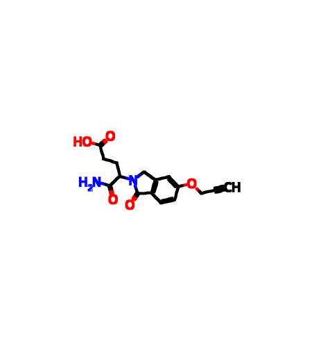 C#CCOc1ccc2c(c1)CN(C(CCC(=O)O)C(N)=O)C2=O